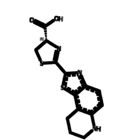 O=C(O)[C@H]1CSC(c2nc3ccc4c(c3s2)CCCN4)=N1